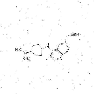 CN(C)[C@H]1CC[C@H](Nc2ncnc3ccc(CC#N)cc23)CC1